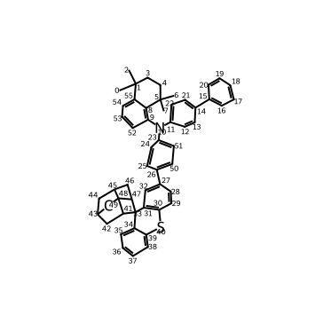 CC1(C)CCC(C)(C)c2c(N(c3ccc(-c4ccccc4)cc3)c3ccc(-c4ccc5c(c4)C4(c6ccccc6S5)C5CC6CC7CC4C75C6)cc3)cccc21